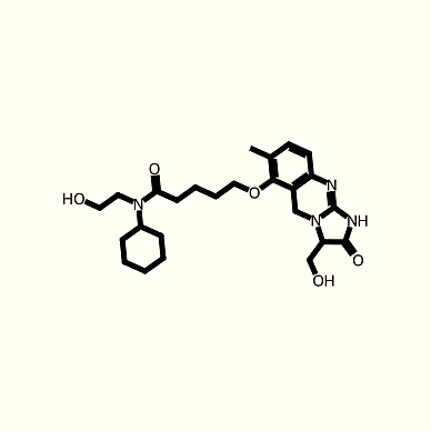 Cc1ccc2c(c1OCCCCC(=O)N(CCO)C1CCCCC1)CN1C(=N2)NC(=O)C1CO